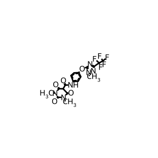 CN1C(=O)C(C(=O)Nc2ccc(Oc3nc(C(F)(F)C(F)(F)F)nn3C)cc2)C(=O)N(C)C1=O